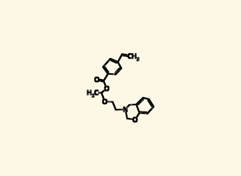 C=Cc1ccc(C(=O)OC(C)OCCN2COc3ccccc3C2)cc1